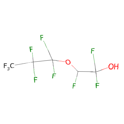 OC(F)(F)C(F)OC(F)(F)C(F)(F)C(F)(F)F